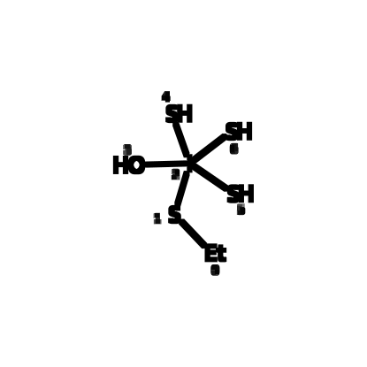 CCSI(O)(S)(S)S